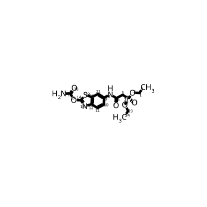 CCOP(=O)(CC(=O)Nc1ccc2nc(OC(N)=O)sc2c1)OCC